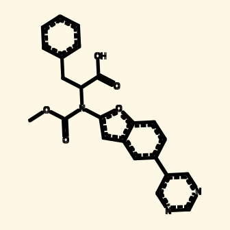 COC(=O)N(c1cc2cc(-c3cncnc3)ccc2o1)C(Cc1ccccc1)C(=O)O